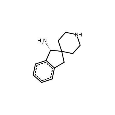 N[C@H]1c2ccccc2CC12CCNCC2